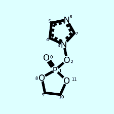 O=P1(On2ccnc2)OCCO1